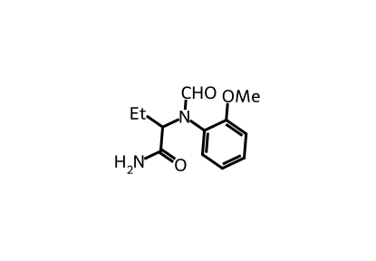 CCC(C(N)=O)N(C=O)c1ccccc1OC